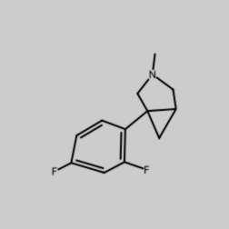 CN1CC2CC2(c2ccc(F)cc2F)C1